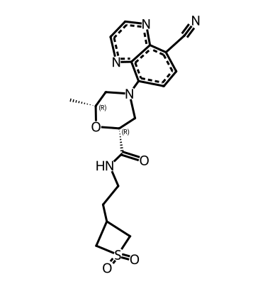 C[C@@H]1CN(c2ccc(C#N)c3nccnc23)C[C@H](C(=O)NCCC2CS(=O)(=O)C2)O1